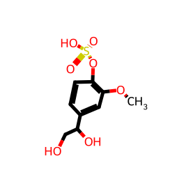 COc1cc(C(O)CO)ccc1OS(=O)(=O)O